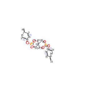 C=C/C=C\C(=C/C)OP1OCC2(CO1)COP(OC(/C=C\C=C)=C/C)OC2